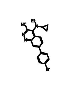 CCN(c1c(C#N)nnc2cc(-c3ccc(Br)cc3)ccc12)C1CC1